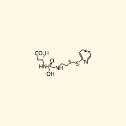 O=C(O)CCNP(=O)(O)NCCSSc1ccccn1